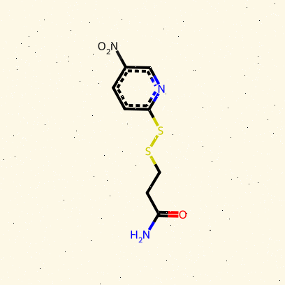 NC(=O)CCSSc1ccc([N+](=O)[O-])cn1